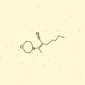 CCCCCC(C#N)=C(C)N1CCOCC1